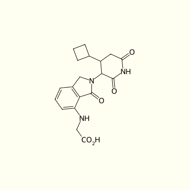 O=C(O)CNc1cccc2c1C(=O)N(C1C(=O)NC(=O)CC1C1CCC1)C2